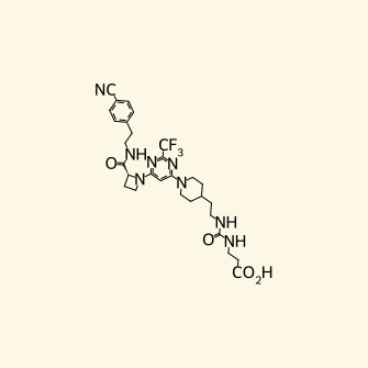 N#Cc1ccc(CCNC(=O)[C@@H]2CCN2c2cc(N3CCC(CCNC(=O)NCCC(=O)O)CC3)nc(C(F)(F)F)n2)cc1